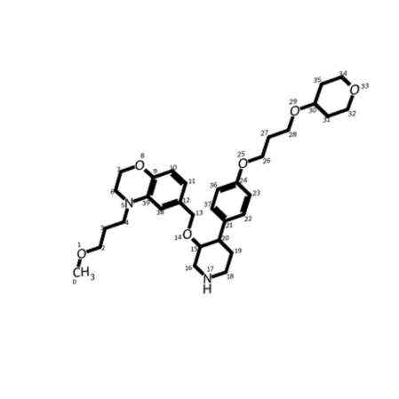 COCCCN1CCOc2ccc(COC3CNCCC3c3ccc(OCCCOC4CCOCC4)cc3)cc21